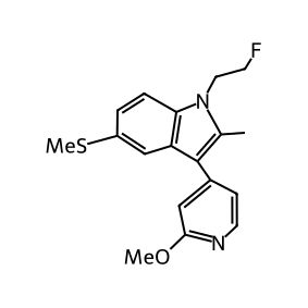 COc1cc(-c2c(C)n(CCF)c3ccc(SC)cc23)ccn1